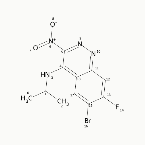 CC(C)Nc1c([N+](=O)[O-])nnc2cc(F)c(Br)cc12